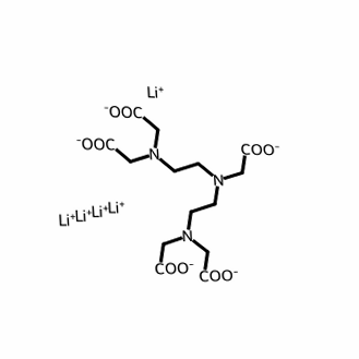 O=C([O-])CN(CCN(CC(=O)[O-])CC(=O)[O-])CCN(CC(=O)[O-])CC(=O)[O-].[Li+].[Li+].[Li+].[Li+].[Li+]